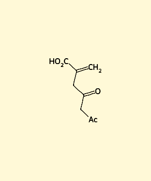 C=C(CC(=O)CC(C)=O)C(=O)O